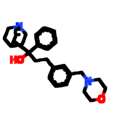 OC(CCc1cccc(CN2CCOCC2)c1)(c1ccccc1)C1CN2CCC1CC2